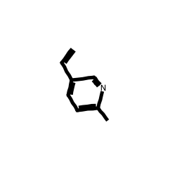 C=Cc1[c]nc(C)cc1